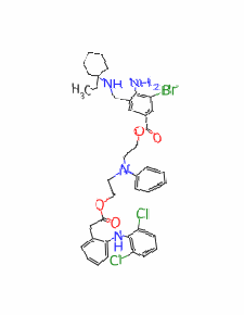 CCC1(NCc2cc(C(=O)OCCN(CCOC(=O)Cc3ccccc3Nc3c(Cl)cccc3Cl)c3ccccc3)cc(Br)c2N)CCCCC1